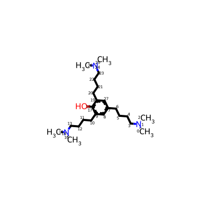 CN(C)CCCCc1cc(CCCCN(C)C)c(O)c(CCCCN(C)C)c1